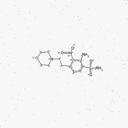 Nc1c(S(N)(=O)=O)ccc(CCN2CCOCC2)c1[N+](=O)[O-]